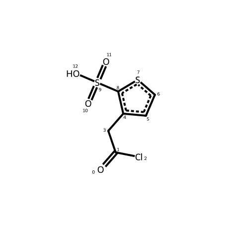 O=C(Cl)Cc1ccsc1S(=O)(=O)O